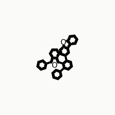 c1ccc(-c2cccc(-c3ccc4oc5ccccc5c4c3)c2-c2oc(-c3ccccc3)c3ccccc23)cc1